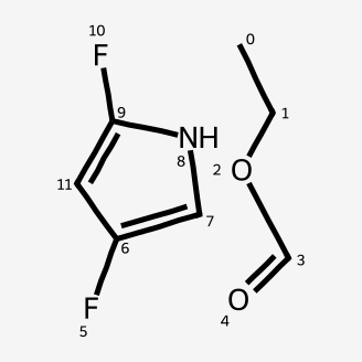 CCOC=O.Fc1c[nH]c(F)c1